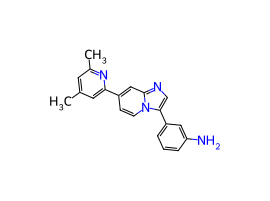 Cc1cc(C)nc(-c2ccn3c(-c4cccc(N)c4)cnc3c2)c1